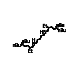 CCCCN(CCCC)CCC(CC)CNCCCCCNCC(CC)CCN(CCCC)CCCC